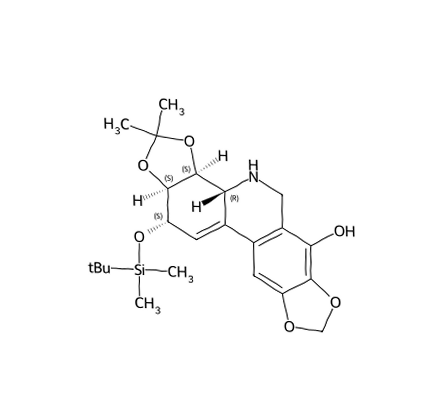 CC1(C)O[C@@H]2[C@H](O1)[C@@H](O[Si](C)(C)C(C)(C)C)C=C1c3cc4c(c(O)c3CN[C@H]12)OCO4